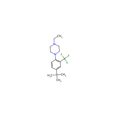 CCN1CCN(c2ccc(C(C)(C)C)cc2C(F)(F)F)CC1